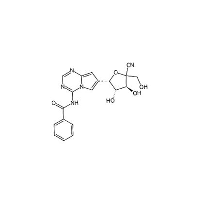 N#CC1(CO)O[C@@H](c2cc3ncnc(NC(=O)c4ccccc4)n3c2)[C@@H](O)[C@@H]1O